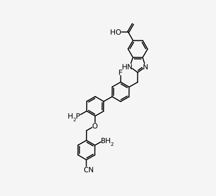 Bc1cc(C#N)ccc1COc1cc(-c2ccc(Cc3nc4ccc(C(=C)O)cc4[nH]3)c(F)c2)ccc1P